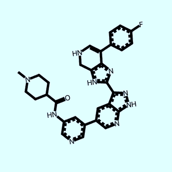 CN1CCC(C(=O)Nc2cncc(-c3cnc4[nH]nc(-c5nc6c([nH]5)CNC=C6c5ccc(F)cc5)c4c3)c2)CC1